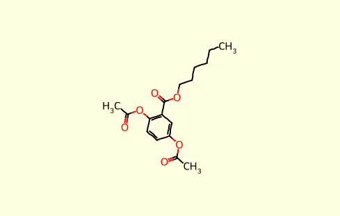 CCCCCCOC(=O)c1cc(OC(C)=O)ccc1OC(C)=O